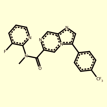 CN(C(=O)c1cn2c(-c3ccc(C(F)(F)F)cc3)cnc2cn1)c1ncccc1F